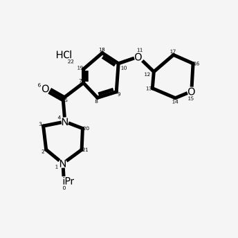 CC(C)N1CCN(C(=O)c2ccc(OC3CCOCC3)cc2)CC1.Cl